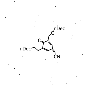 CCCCCCCCCCCCC1=CC(=CC#N)C=C(CCCCCCCCCCCC)C1=O